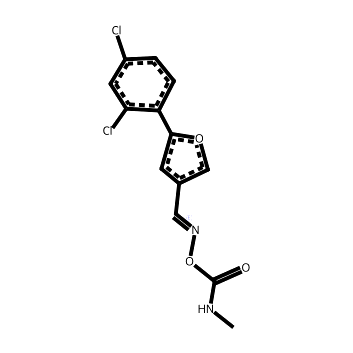 CNC(=O)O/N=C/c1coc(-c2ccc(Cl)cc2Cl)c1